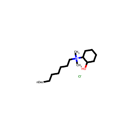 CCCCCCCCCCCCCCCC[N+](C)(C)C1CCCCC1O.[Cl-]